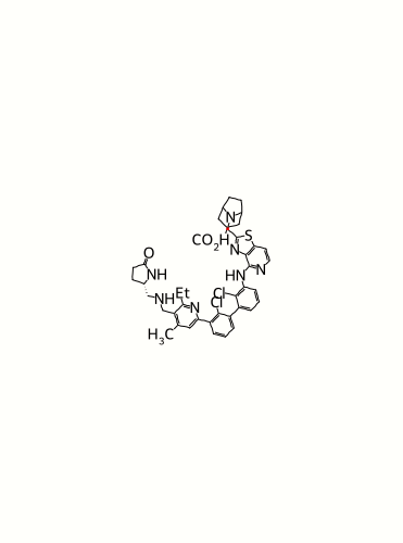 CCc1nc(-c2cccc(-c3cccc(Nc4nccc5sc(CN6C7CCC6CC(C(=O)O)C7)nc45)c3Cl)c2Cl)cc(C)c1CNC[C@@H]1CCC(=O)N1